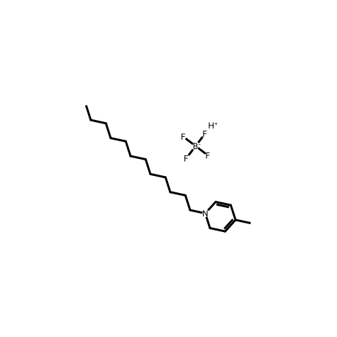 CCCCCCCCCCCCN1C=CC(C)=CC1.F[B-](F)(F)F.[H+]